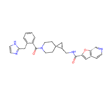 O=C(NCC1CC12CCN(C(=O)c1ccccc1Cc1ncc[nH]1)CC2)c1cc2ccncc2o1